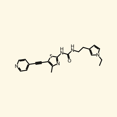 CCn1ccc(CCNC(=O)Nc2nc(C)c(C#Cc3ccncc3)s2)c1